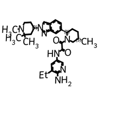 CCc1cc(NC(=O)C(=O)N2C[C@@H](C)CC[C@@H]2c2ccc3cn([C@@H]4CCN(C)C(C)(C)C4)nc3c2)cnc1N